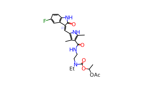 CCN(CCNC(=O)c1c(C)[nH]c(/C=C2\C(=O)Nc3ccc(F)cc32)c1C)C(=O)OC(C)OC(C)=O